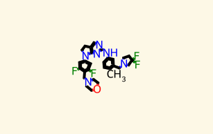 Cc1ccc(Nc2ncc3c(n2)N(c2cc(F)c(CN4CCOCC4)c(F)c2)CC3)cc1CN1CCC(F)(F)C1